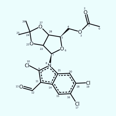 CC(=O)OC[C@H]1O[C@@H](n2c(Cl)c(C=O)c3cc(Cl)c(Cl)cc32)C2OC(C)(C)OC21